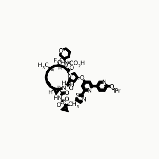 CC(C)Oc1ccc(-c2cc(O[C@@H]3C[C@H]4C(=O)N[C@]5(C(=O)NS(=O)(=O)C6(C)CC6)C[C@H]5C=CCC[C@@H](C)C[C@@H](C)[C@H](N(C(=O)O)C5(C(F)(F)F)CCCOC5)C(=O)N4C3)cc(-c3nccs3)n2)cn1